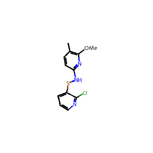 COc1nc(NSc2cccnc2Cl)ccc1C